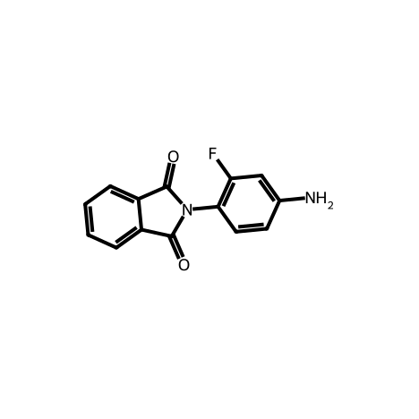 Nc1ccc(N2C(=O)c3ccccc3C2=O)c(F)c1